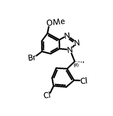 COc1cc(Br)cc2c1nnn2[C@H](C)c1ccc(Cl)cc1Cl